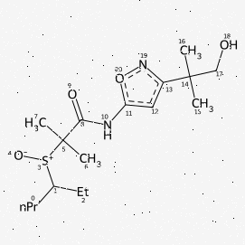 CCCC(CC)[S+]([O-])C(C)(C)C(=O)Nc1cc(C(C)(C)CO)no1